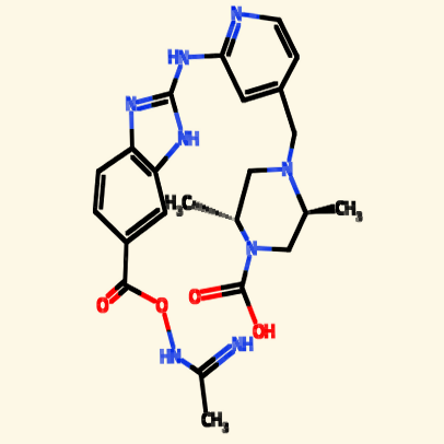 CC(=N)NOC(=O)c1ccc2nc(Nc3cc(CN4C[C@@H](C)N(C(=O)O)C[C@@H]4C)ccn3)[nH]c2c1